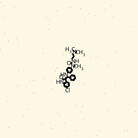 CN(C)CCCNC(=O)N(C)c1ccc(N/C(=C2\C(=O)Nc3cc(Cl)ccc32)c2ccccc2)cc1